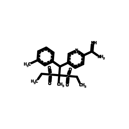 CCS(=O)(=O)C(C)(C(c1ccc(C(=N)N)nc1)c1cccc(C)c1)S(=O)(=O)CC